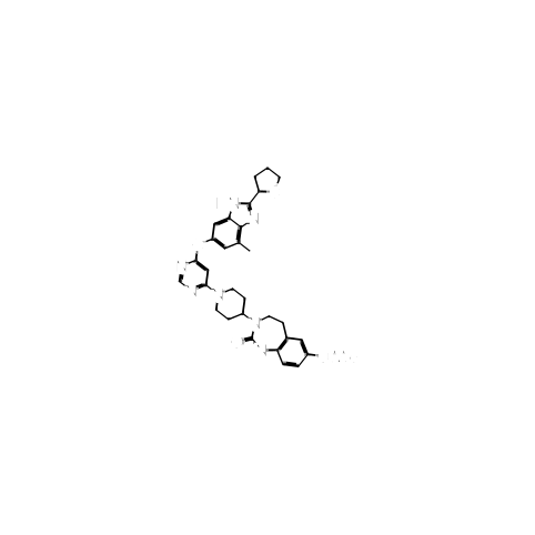 COc1ccc2c(c1)CCN(C1CCN(c3cc(Oc4cc(C)c5nc(C6CCCO6)[nH]c5c4)ncn3)CC1)C(=O)N2